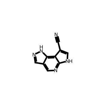 N#Cc1c[nH]c2ncc3cn[nH]c3c12